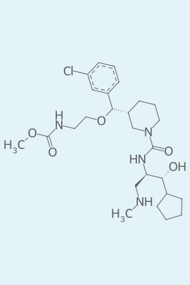 CNC[C@@H](NC(=O)N1CCC[C@@H](C(OCCNC(=O)OC)c2cccc(Cl)c2)C1)[C@H](O)C1CCCC1